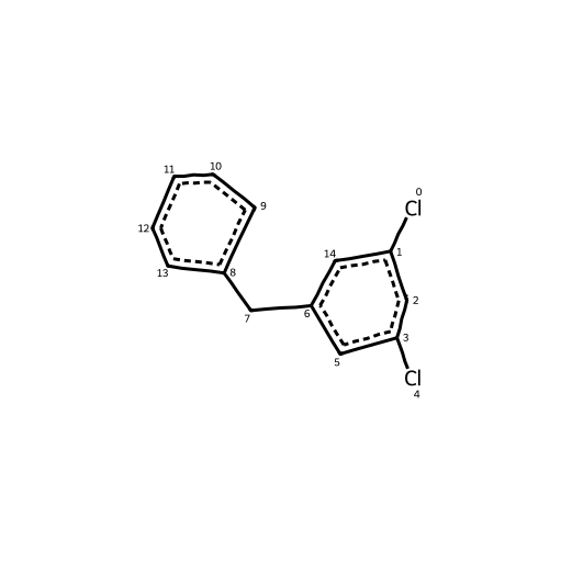 Clc1[c]c(Cl)cc(Cc2ccccc2)c1